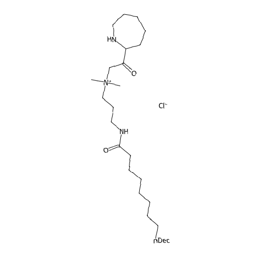 CCCCCCCCCCCCCCCCCC(=O)NCCC[N+](C)(C)CC(=O)C1CCCCCN1.[Cl-]